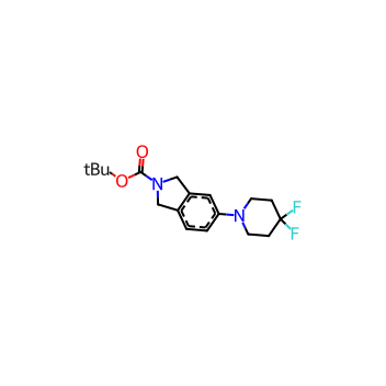 CC(C)(C)OC(=O)N1Cc2ccc(N3CCC(F)(F)CC3)cc2C1